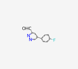 O=Cc1cc(-c2ccc(F)cc2)cnn1